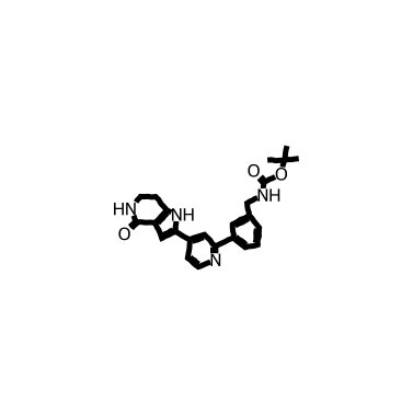 CC(C)(C)OC(=O)NCc1cccc(-c2cc(-c3cc4c([nH]3)CCNC4=O)ccn2)c1